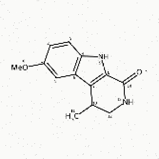 COc1ccc2[nH]c3c(c2c1)C(C)CNC3=O